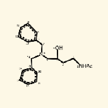 CC(=O)NCCC(O)CN(Cc1ccccc1)Cc1ccccc1